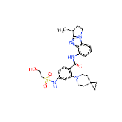 CC1CCn2c1nc1c(NC(=O)c3ccc(NS(=O)(=O)CCO)cc3N3CCC4(CC3)CC4)cccc12